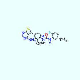 COc1cc(-c2csc3ncnc(N)c23)ccc1NC(=O)Nc1cc(C)ccc1F